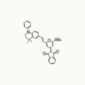 CC(C)(C)C1=CC(=C2C(=O)c3ccccc3C2=O)C=C(C=Cc2ccc3c(c2)C(C)(C)CCN3c2ccccc2)O1